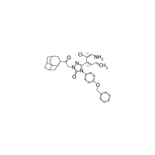 C=C/C=C(\C(Cl)=C/N)c1nn(CC(=O)C23CC4CC5CC(C2)C5(C4)C3)c(=O)n1-c1ccc(OCc2ccccc2)cc1